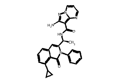 C[C@H](NC(=O)c1c(N)nn2cccnc12)c1cc2cccc(C3CC3)c2c(=O)n1-c1ccccc1